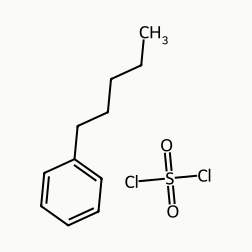 CCCCCc1ccccc1.O=S(=O)(Cl)Cl